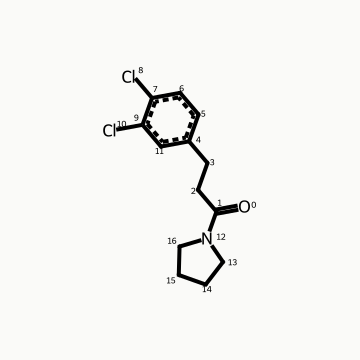 O=C(CCc1ccc(Cl)c(Cl)c1)N1CCCC1